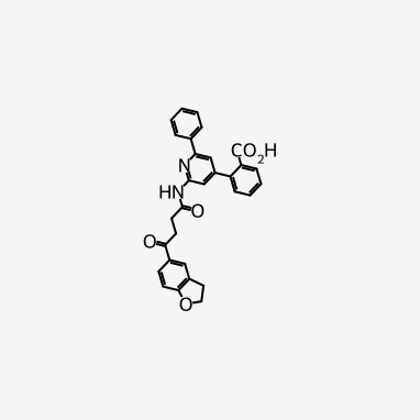 O=C(CCC(=O)c1ccc2c(c1)CCO2)Nc1cc(-c2ccccc2C(=O)O)cc(-c2ccccc2)n1